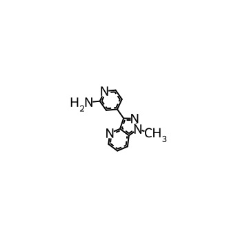 Cn1nc(-c2ccnc(N)c2)c2ncccc21